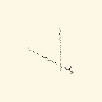 CCCCCCCCCCCCCCN(CCCCCCCCCCCCCC)C(=O)/C=C/C(=O)O